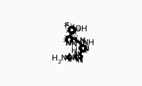 NC1CN(c2cncc(-c3cnc4[nH]nc(-c5cc6c(-c7cc(O)cc(F)c7)ccnc6[nH]5)c4c3)n2)C1